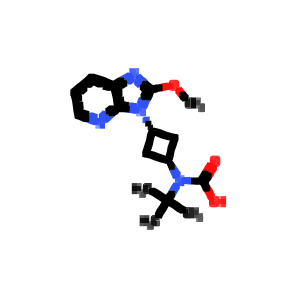 COc1nc2cccnc2n1[C@H]1C[C@H](N(C(=O)O)C(C)(C)C)C1